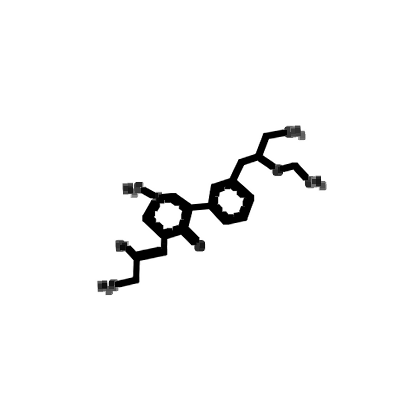 CCOC(CC)Cc1cccc(-c2cn(C)cc(C=C(Br)CC)c2=O)c1